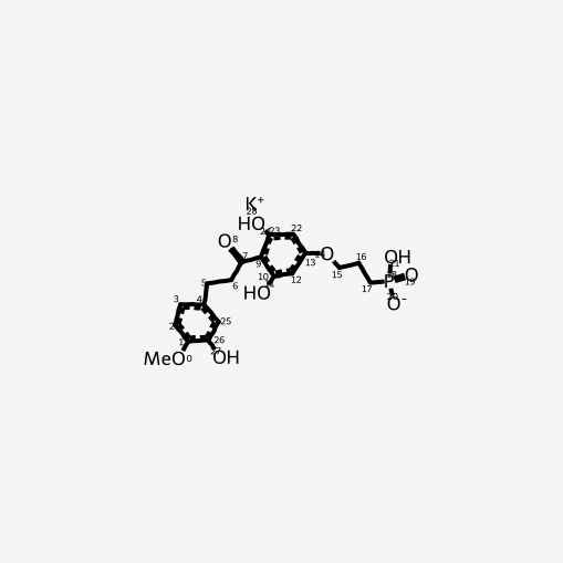 COc1ccc(CCC(=O)c2c(O)cc(OCCCP(=O)([O-])O)cc2O)cc1O.[K+]